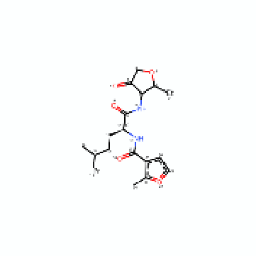 CCC1OCC(=O)C1NC(=O)[C@H](CCC(C)C(C)C)NC(=O)c1ccoc1C